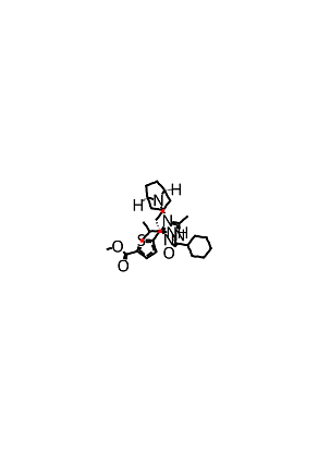 COC(=O)c1ccc([C@H](CCN2[C@@H]3CC[C@H]2C[C@H](n2c(C)nnc2C(C)C)C3)NC(=O)C2CCCCC2)s1